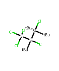 CC(C)(C)[Si](Cl)(C(C)(C)C)[Si](Cl)(C(C)(C)C)[Si](Cl)(Cl)Cl